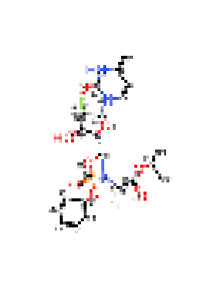 C=C1C=CN([C@@H]2O[C@H](CO[P@@](=O)(N[C@@H](C)C(=O)OC(C)C)Oc3ccccc3)[C@@H](O)[C@@]2(C)F)C(=O)N1